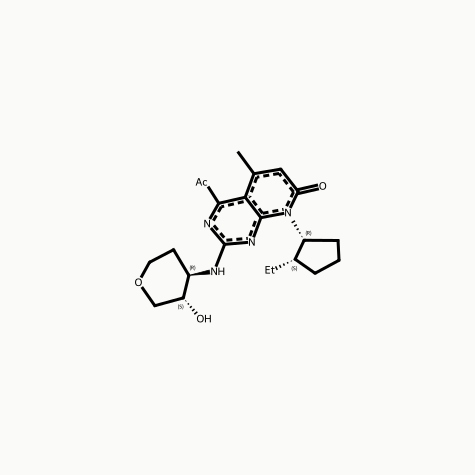 CC[C@H]1CCC[C@H]1n1c(=O)cc(C)c2c(C(C)=O)nc(N[C@@H]3CCOC[C@H]3O)nc21